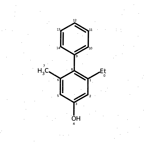 CCc1cc(O)cc(C)c1-c1ccccc1